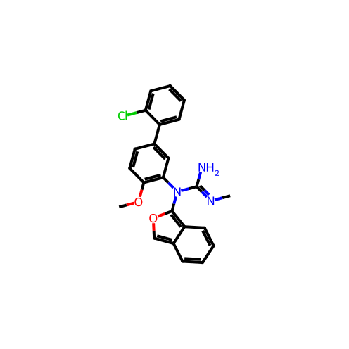 CN=C(N)N(c1cc(-c2ccccc2Cl)ccc1OC)c1occ2ccccc12